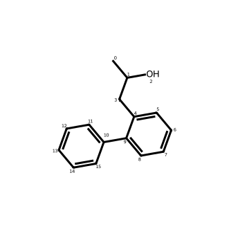 CC(O)[CH]c1ccccc1-c1ccccc1